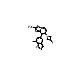 Cc1cc(-c2c(N3CC(F)C3)ccn3nc(C(F)(F)F)nc23)cc2cn[nH]c12